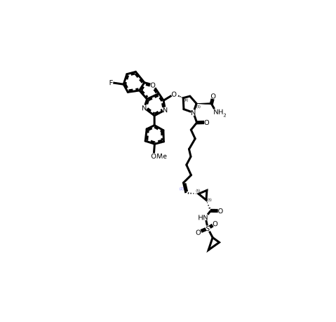 COc1ccc(-c2nc(O[C@@H]3C[C@@H](C(N)=O)N(C(=O)CCCCCC/C=C\[C@@H]4C[C@@H]4C(=O)NS(=O)(=O)C4CC4)C3)c3oc4ccc(F)cc4c3n2)cc1